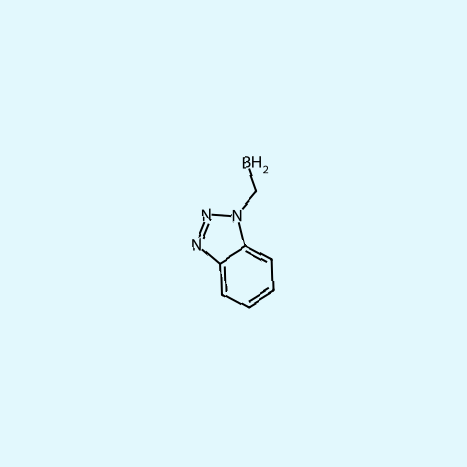 BCn1nnc2ccccc21